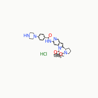 CN1CCC[C@@H]1c1cc2cnc(NC(=O)c3ccc(N4CCNCC4)cc3)cc2n1C(=O)OC(C)(C)C.Cl